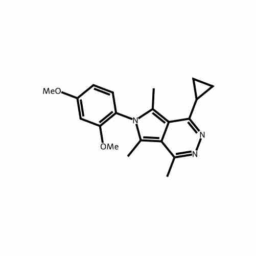 COc1ccc(-n2c(C)c3c(C)nnc(C4CC4)c3c2C)c(OC)c1